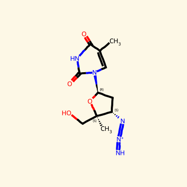 Cc1cn([C@H]2C[C@H](N=[N+]=N)[C@@](C)(CO)O2)c(=O)[nH]c1=O